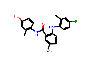 Cc1cc(O)ccc1NC(=O)c1cc(C(F)(F)F)ccc1Nc1ccc(F)cc1C